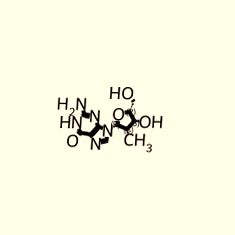 C[C@H]1[C@H](O)[C@@H](CO)O[C@H]1n1cnc2c(=O)[nH]c(N)nc21